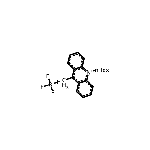 CCCCCC[n+]1c2ccccc2c(C)c2ccccc21.F[B-](F)(F)F